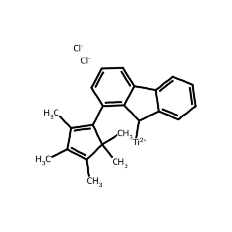 CC1=C(C)C(C)(C)C(c2cccc3c2[CH]([Ti+2])c2ccccc2-3)=C1C.[Cl-].[Cl-]